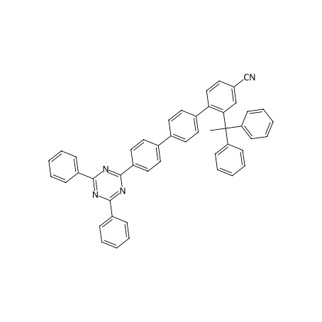 CC(c1ccccc1)(c1ccccc1)c1cc(C#N)ccc1-c1ccc(-c2ccc(-c3nc(-c4ccccc4)nc(-c4ccccc4)n3)cc2)cc1